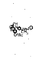 COc1ccc2c(Nc3ccc(C(C)=NOCCN4CCCCC4)cc3)c3c(Cl)coc3nc2c1